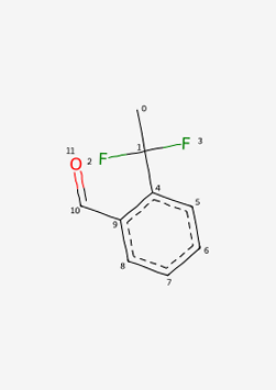 CC(F)(F)c1ccccc1C=O